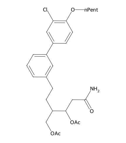 CCCCCOc1ccc(-c2cccc(CCC(COC(C)=O)C(CC(N)=O)OC(C)=O)c2)cc1Cl